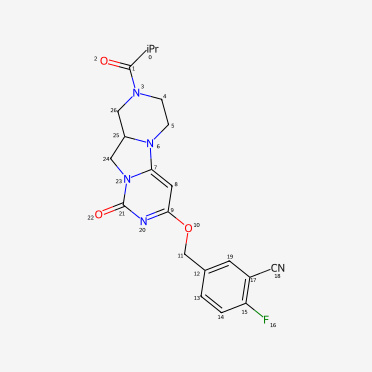 CC(C)C(=O)N1CCN2c3cc(OCc4ccc(F)c(C#N)c4)nc(=O)n3CC2C1